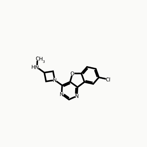 CNC1CN(c2ncnc3c2oc2ccc(Cl)cc23)C1